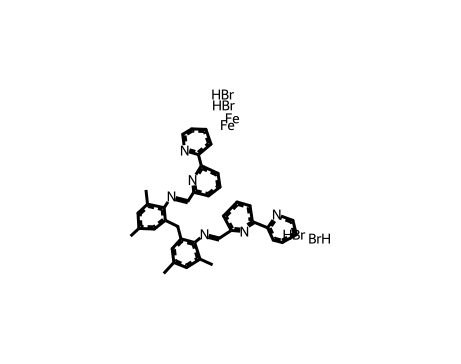 Br.Br.Br.Br.Cc1cc(C)c(N=Cc2cccc(-c3ccccn3)n2)c(Cc2cc(C)cc(C)c2N=Cc2cccc(-c3ccccn3)n2)c1.[Fe].[Fe]